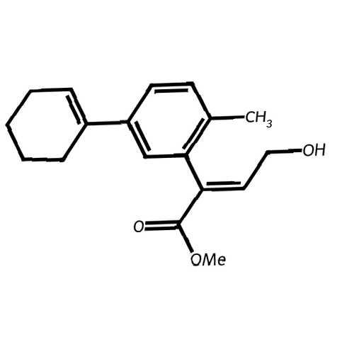 COC(=O)/C(=C/CO)c1cc(C2=CCCCC2)ccc1C